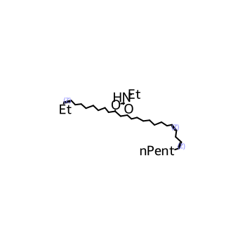 CC/C=C\CCCCCCCC(CCCCCCCCC/C=C\C/C=C\CCCCC)OC(=O)NCC